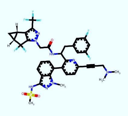 CN(C)CC#Cc1ccc(-c2cccc3c(NS(C)(=O)=O)nn(C)c23)c(C(Cc2cc(F)cc(F)c2)NC(=O)Cn2nc(C(F)(F)F)c3c2C(F)(F)[C@@H]2C[C@H]32)n1